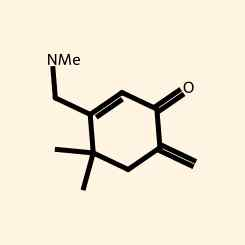 C=C1CC(C)(C)C(CNC)=CC1=O